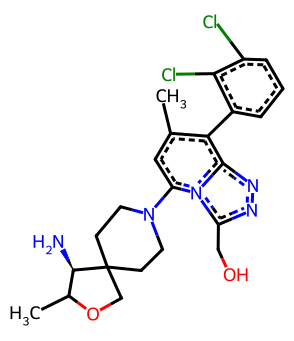 Cc1cc(N2CCC3(CC2)COC(C)[C@H]3N)n2c(CO)nnc2c1-c1cccc(Cl)c1Cl